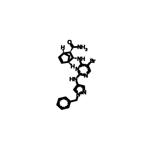 NC(=O)[C@@H]1[C@H](Nc2nc(Nc3cnn(Cc4ccccc4)c3)ncc2Br)[C@H]2C=C[C@@H]1C2